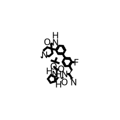 CN1CCC2(CC1)C(=O)Nc1ccc(-c3ccc(C[C@@H](C#N)NC(=O)[C@@H]4[C@H]5CC[C@H](C5)N4C(=O)OC(C)(C)C)c(F)c3)cc12